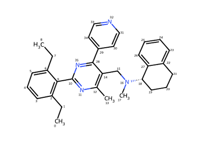 CCc1cccc(CC)c1-c1nc(C)c(CN(C)[C@H]2CCCc3ccccc32)c(-c2ccncc2)n1